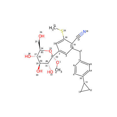 CO[C@@]1(c2cc(Cc3ccc(C4CC4)cc3)c(C#N)c(SC)c2)O[C@H](CO)[C@@H](O)[C@H](O)[C@H]1O